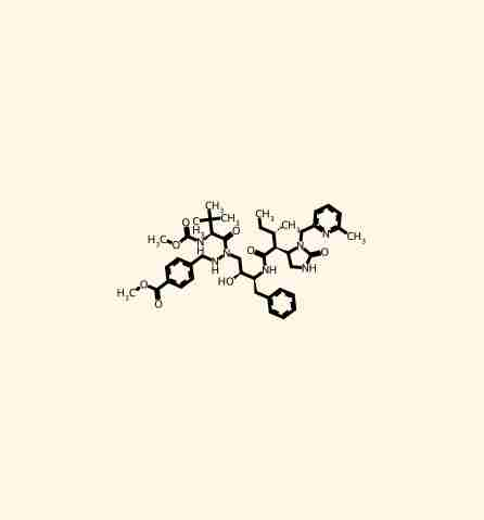 CC[C@H](C)[C@H](C(=O)N[C@@H](Cc1ccccc1)[C@@H](O)CN(NCc1ccc(C(=O)OC)cc1)C(=O)[C@@H](NC(=O)OC)C(C)(C)C)C1CNC(=O)N1Cc1cccc(C)n1